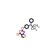 CC(C)N(c1ccccc1)c1ccc(Oc2nc3sccc3c(=O)o2)cc1